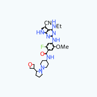 CCNc1nc(Nc2cc(F)c(C(=O)NC3CCN(N4CCCC4C4COC4)CC3)cc2OC)nc2[nH]cc(C#N)c12